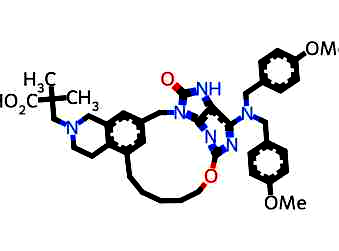 COc1ccc(CN(Cc2ccc(OC)cc2)c2nc3nc4c2[nH]c(=O)n4Cc2cc(c4c(c2)CN(CC(C)(C)C(=O)O)CC4)CCCCCO3)cc1